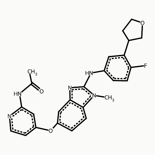 CC(=O)Nc1cc(Oc2ccc3c(c2)nc(Nc2ccc(F)c(C4CCOC4)c2)n3C)ccn1